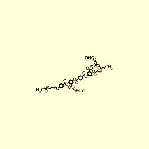 C=C/C=C(\C=C/CC(=O)Oc1ccc(OC(=O)C2CCC(C(=O)Oc3ccc(OC(=O)c4ccc(OCCCCOC(=O)C=C)cc4)c(C(=O)OCC(C)CCC)c3)CC2)cc1C(=O)OCC(C)CC)OCCCCOC=O